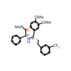 CNC(=O)[C@H](N[C@@H](CCc1cccc(C(F)(F)F)c1)c1ccc(OC)c(OC)c1)c1ccccc1